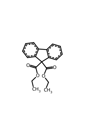 CCOC(=O)C1(C(=O)OCC)c2ccccc2-c2ccccc21